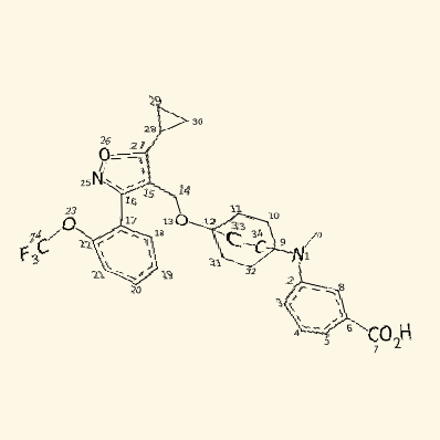 CN(c1cccc(C(=O)O)c1)C12CCC(OCc3c(-c4ccccc4OC(F)(F)F)noc3C3CC3)(CC1)CC2